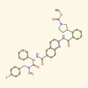 CN(Cc1ccc(F)cc1)C(=O)[C@@H](NC(=O)c1ccc2nc(NC(=O)c3ccccc3C3CCN(C(=O)OC(C)(C)C)C3)ccc2c1)c1ccccc1